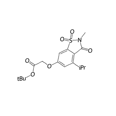 CC(C)c1cc(OCC(=O)OC(C)(C)C)cc2c1C(=O)N(C)S2(=O)=O